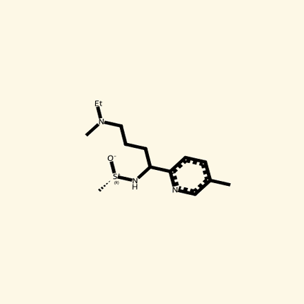 CCN(C)CCCC(N[S@+](C)[O-])c1ccc(C)cn1